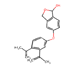 C=C(C)c1ccc(Oc2ccc3c(c2)COC3O)cc1C(=C)C